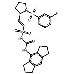 O=C(Nc1c2c(cc3c1CCC3)CCC2)NS(=O)(=O)/C=C/[C@H]1CCCN1S(=O)(=O)c1cccc(F)c1